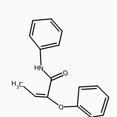 CC=C(Oc1ccccc1)C(=O)Nc1ccccc1